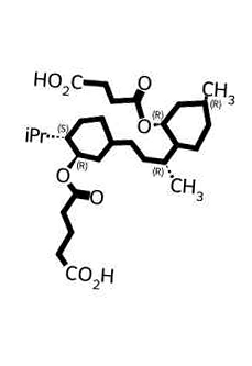 CC(C)[C@@H]1CCC(CC[C@@H](C)C2CC[C@@H](C)C[C@H]2OC(=O)CCC(=O)O)C[C@H]1OC(=O)CCCC(=O)O